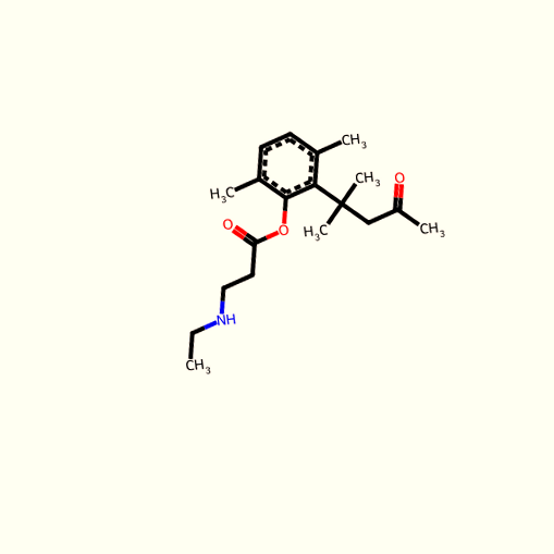 CCNCCC(=O)Oc1c(C)ccc(C)c1C(C)(C)CC(C)=O